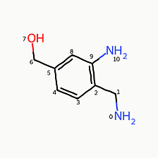 NCc1ccc(CO)cc1N